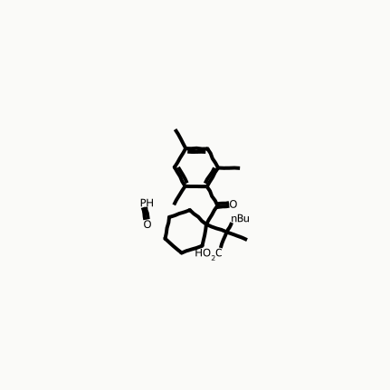 CCCCC(C)(C(=O)O)C1(C(=O)c2c(C)cc(C)cc2C)CCCCC1.O=P